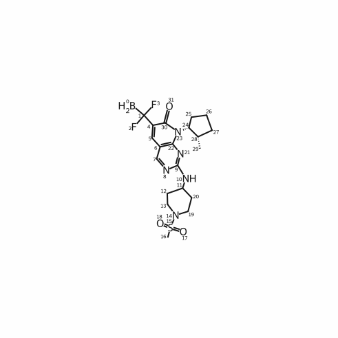 BC(F)(F)c1cc2cnc(NC3CCN(S(C)(=O)=O)CC3)nc2n([C@@H]2CCC[C@@H]2C)c1=O